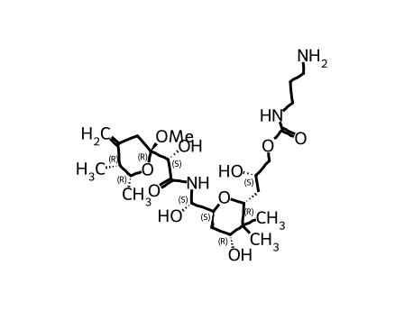 C=C1C[C@](OC)([C@H](O)C(=O)N[C@@H](O)[C@@H]2C[C@@H](O)C(C)(C)[C@@H](C[C@H](O)COC(=O)NCCCN)O2)O[C@H](C)[C@@H]1C